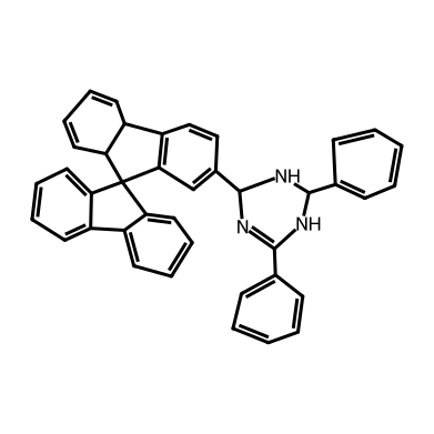 C1=CC2c3ccc(C4N=C(c5ccccc5)NC(c5ccccc5)N4)cc3C3(c4ccccc4-c4ccccc43)C2C=C1